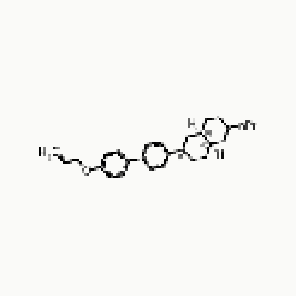 C=CCOc1ccc(-c2ccc([C@@H]3CC[C@@H]4CC(CCC)CC[C@@H]4C3)cc2)cc1